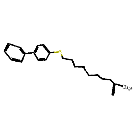 C=C(CCCCCCCCSc1ccc(-c2ccccc2)cc1)C(=O)O